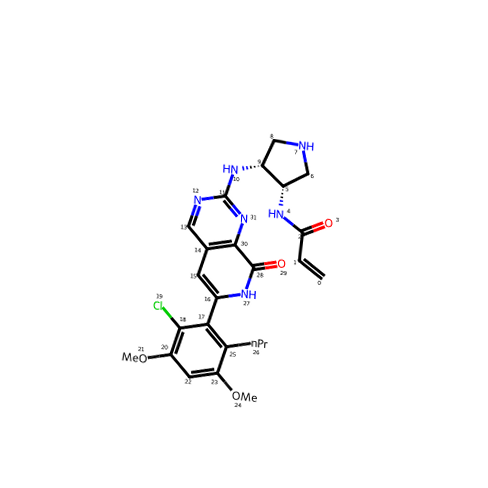 C=CC(=O)N[C@H]1CNC[C@H]1Nc1ncc2cc(-c3c(Cl)c(OC)cc(OC)c3CCC)[nH]c(=O)c2n1